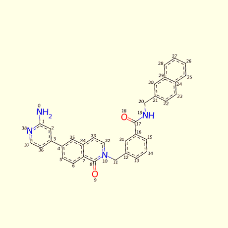 Nc1cc(-c2ccc3c(=O)n(Cc4cccc(C(=O)NCc5ccc6ccccc6c5)c4)ccc3c2)ccn1